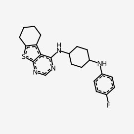 Fc1ccc(NC2CCC(Nc3ncnc4sc5c(c34)CCCC5)CC2)cc1